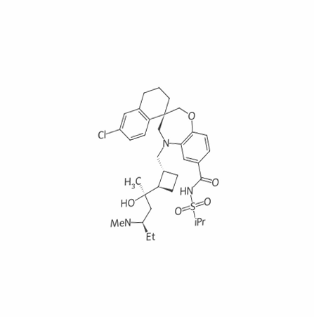 CC[C@H](C[C@@](C)(O)[C@@H]1CC[C@H]1CN1C[C@@]2(CCCc3cc(Cl)ccc32)COc2ccc(C(=O)NS(=O)(=O)C(C)C)cc21)NC